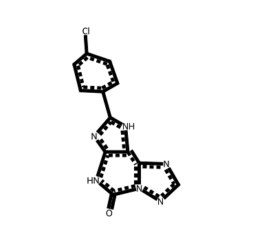 O=c1[nH]c2nc(-c3ccc(Cl)cc3)[nH]c2c2ncnn12